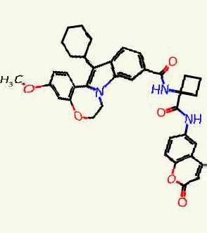 COc1ccc2c(c1)OCCn1c-2c(C2CCCCC2)c2ccc(C(=O)NC3(C(=O)Nc4ccc5oc(=O)ccc5c4)CCC3)cc21